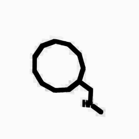 CPCC1CCCCCCCCCC1